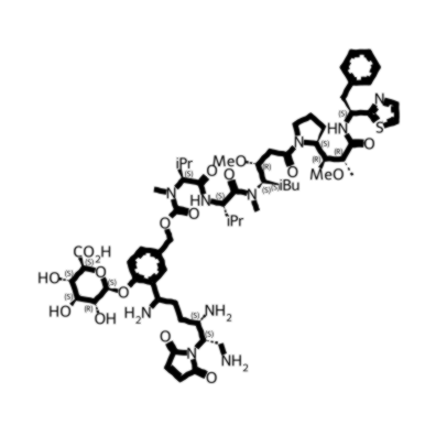 CC[C@H](C)[C@@H]([C@@H](CC(=O)N1CCC[C@H]1[C@H](OC)[C@@H](C)C(=O)N[C@@H](Cc1ccccc1)c1nccs1)OC)N(C)C(=O)[C@@H](NC(=O)[C@H](C(C)C)N(C)C(=O)OCc1ccc(O[C@@H]2O[C@H](C(=O)O)[C@@H](O)[C@H](O)[C@H]2O)c(C(N)CC[C@H](N)[C@H](CN)N2C(=O)C=CC2=O)c1)C(C)C